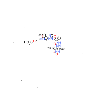 COc1cc(Nc2cc(Oc3ccc(NC(=O)Nc4cc(C(C)(C)C)cc(NS(C)(=O)=O)c4OC)c4ccccc34)ccn2)ccc1C(=O)NCCCCOCC(=O)O